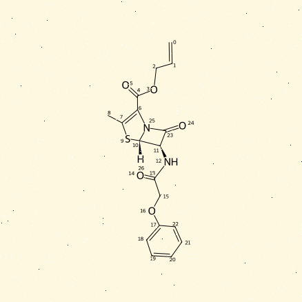 C=CCOC(=O)C1=C(C)S[C@H]2[C@H](NC(=O)COc3ccccc3)C(=O)N12